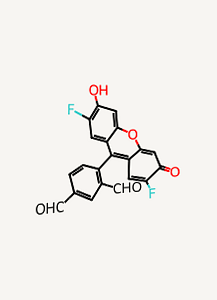 O=Cc1ccc(-c2c3cc(F)c(=O)cc-3oc3cc(O)c(F)cc23)c(C=O)c1